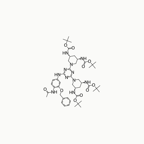 CC(=O)Nc1ccc(Nc2nc(N3C[C@H](NC(=O)OC(C)(C)C)C[C@H](NC(=O)OC(C)(C)C)C3)nc(N3C[C@H](NC(=O)OC(C)(C)C)C[C@H](NC(=O)OC(C)(C)C)C3)n2)cc1OCc1ccccc1